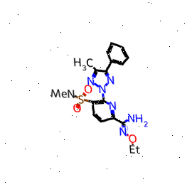 CCO/N=C(\N)c1ccc(S(=O)(=O)NC)c(-n2nc(C)c(-c3ccccc3)n2)n1